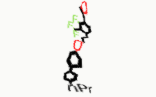 CCCc1ccc(-c2ccc(OCCCc3ccc(C4CO4)c(F)c3C(F)F)cc2)cc1